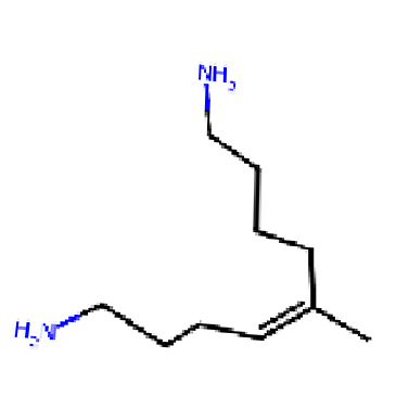 CC(=CCCCN)CCCCN